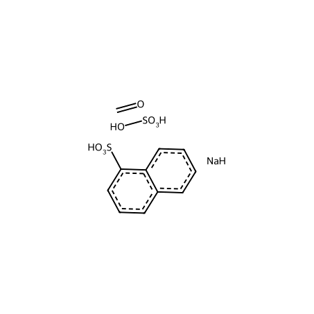 C=O.O=S(=O)(O)O.O=S(=O)(O)c1cccc2ccccc12.[NaH]